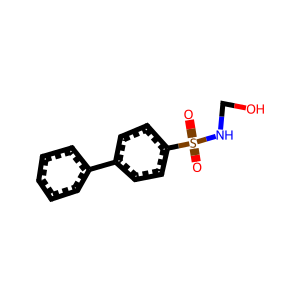 O=S(=O)(NCO)c1ccc(-c2ccccc2)cc1